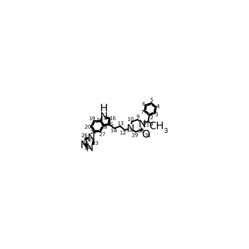 CC(c1ccccc1)N1CCN(CCCc2c[nH]c3ccc(-n4cnnc4)cc23)CC1=O